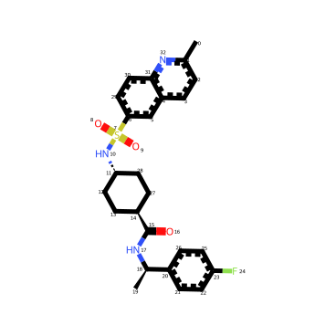 Cc1ccc2cc(S(=O)(=O)N[C@H]3CC[C@H](C(=O)N[C@H](C)c4ccc(F)cc4)CC3)ccc2n1